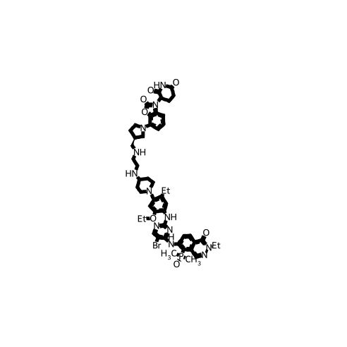 CCOc1cc(N2CCC(NCCNC[C@H]3CCN(c4cccc5c4oc(=O)n5C4CCC(=O)NC4=O)C3)CC2)c(CC)cc1Nc1ncc(Br)c(Nc2ccc3c(=O)n(CC)ncc3c2P(C)(C)=O)n1